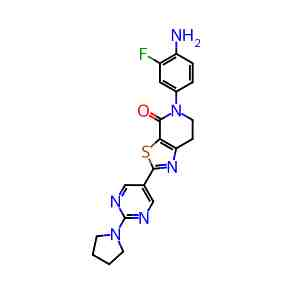 Nc1ccc(N2CCc3nc(-c4cnc(N5CCCC5)nc4)sc3C2=O)cc1F